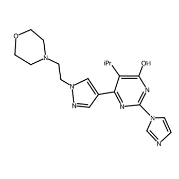 CC(C)c1c(O)nc(-n2ccnc2)nc1-c1cnn(CCN2CCOCC2)c1